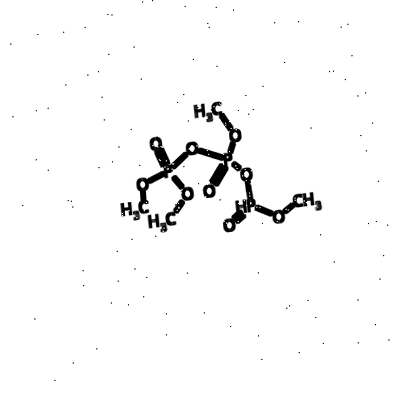 CO[PH](=O)OP(=O)(OC)OP(=O)(OC)OC